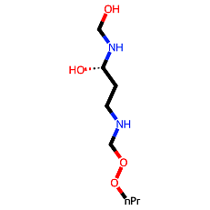 CCCOOCNCC[C@H](O)NCO